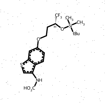 CC(C)(C)[Si](C)(C)O[C@H](CCOc1ccc2c(NC(=O)O)csc2c1)C(F)(F)F